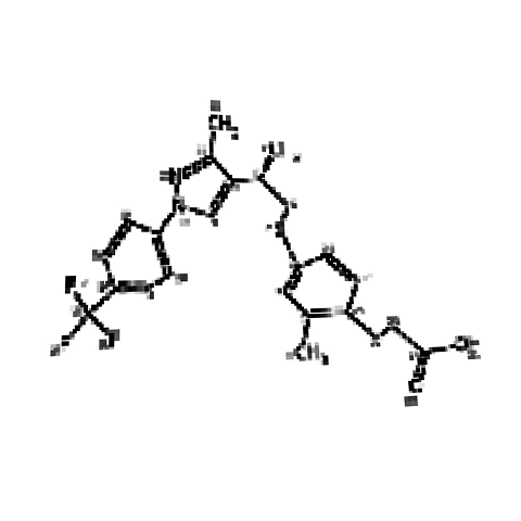 Cc1cc(SC[C@H](C)c2cn(-c3ccc(C(F)(F)F)cc3)nc2C)ccc1CCC(=O)O